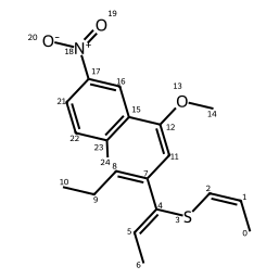 C/C=C\SC(=C\C)/C(=C\CC)/C=C(/OC)c1cc([N+](=O)[O-])ccc1C